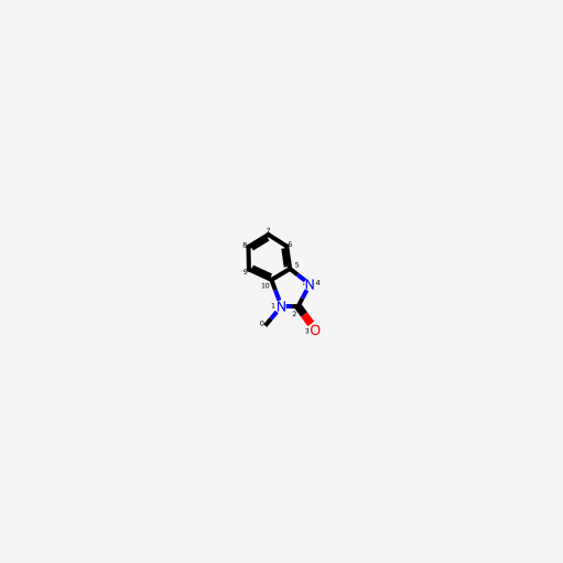 CN1C(=O)[N]c2ccccc21